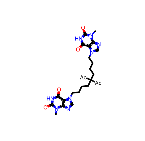 CC(=O)C(CCCCn1cnc2c1c(=O)[nH]c(=O)n2C)(CCCCn1cnc2c1c(=O)[nH]c(=O)n2C)C(C)=O